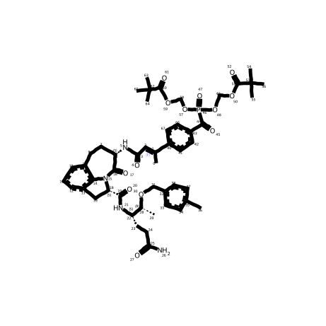 C/C(=C\C(=O)N[C@H]1CCc2cccc3c2N(C1=O)[C@H](C(=O)N[C@@H](CCC(N)=O)[C@@H](C)OCc1ccc(C)cc1)C3)c1ccc(C(=O)P(=O)(OCOC(=O)C(C)(C)C)OCOC(=O)C(C)(C)C)cc1